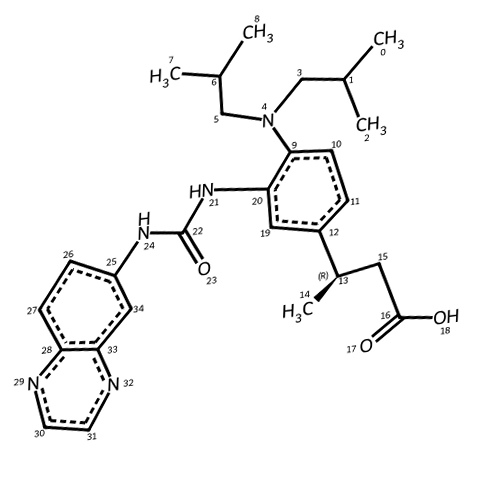 CC(C)CN(CC(C)C)c1ccc([C@H](C)CC(=O)O)cc1NC(=O)Nc1ccc2nccnc2c1